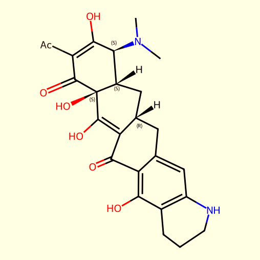 CC(=O)C1=C(O)[C@@H](N(C)C)[C@@H]2C[C@@H]3Cc4cc5c(c(O)c4C(=O)C3=C(O)[C@]2(O)C1=O)CCCN5